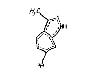 [2H]c1ccc2c(C)n[nH]c2c1